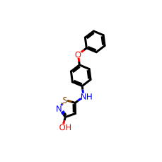 Oc1cc(Nc2ccc(Oc3ccccc3)cc2)sn1